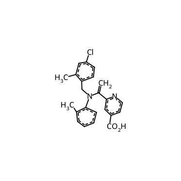 C=C(c1cc(C(=O)O)ccn1)N(Cc1ccc(Cl)cc1C)c1ccccc1C